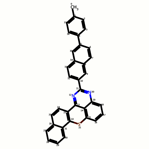 Cc1ccc(-c2ccc3cc(-c4nc5c6c(cccc6n4)Sc4c-5ccc5ccccc45)ccc3c2)cc1